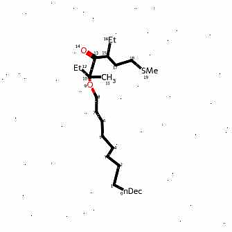 CCCCCCCCCCCCCCCCCCOC(C)(CC)C(=O)C(CC)CCSC